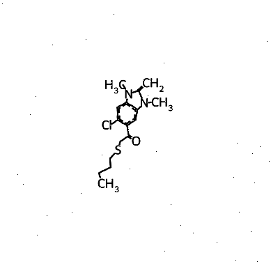 C=C1N(C)c2cc(Cl)c(C(=O)CSCCCC)cc2N1C